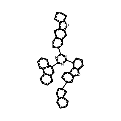 c1ccc2cc(-c3ccc4c(c3)oc3cccc(-c5nc(-c6ccc7cc8c(cc7c6)oc6ccccc68)nc(-c6cc7ccccc7c7ccccc67)n5)c34)ccc2c1